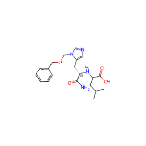 CC(C)CC(N[C@@H](Cc1cncn1COCc1ccccc1)C(N)=O)C(=O)O